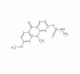 COc1ccc(C(=O)c2ccc(CC(=O)NP)cc2)c(OC)c1